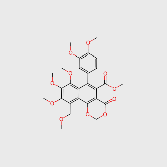 COCc1c(OC)c(OC)c(OC)c2c(-c3ccc(OC)c(OC)c3)c(C(=O)OC)c3c(c12)OCOC3=O